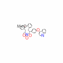 COc1ccccc1CC(C(=O)N1C(=O)OCC1Cc1ccccc1)c1ccc(Oc2ccnc3ccccc23)cc1